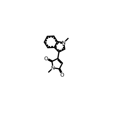 CN1C(=O)C=C(c2cn(C)c3ccccc23)C1=O